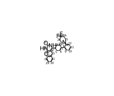 O=c1[nH]c(C2CC=C(c3ccccc3N3CCC(F)(F)CC3)CC2)c(Cc2ccccc2)c(=O)[nH]1